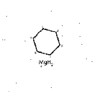 [CH]1CCCCC1.[MgH2]